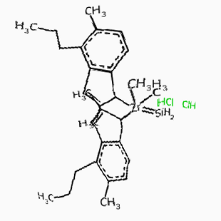 CCCc1c(C)ccc2c1C=C(C)[CH]2[Zr]([CH3])([CH3])(=[SiH2])[CH]1C(C)=Cc2c1ccc(C)c2CCC.Cl.Cl